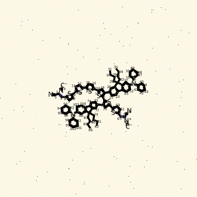 [C-]#[N+]/C(C#N)=C\c1ccc(-c2ccc(-c3ccc(-c4cc(-c5ccc6c(c5)C(CCCC)(CCCC)c5cc(N(c7ccccc7)c7ccccc7)ccc5-6)c(-c5sc(-c6ccc(/C=C(\C#N)[N+]#[C-])s6)cc5-c5ccc6c(c5)C(CCCC)(CCCC)c5cc(N(c7ccccc7)c7ccccc7)ccc5-6)s4)s3)s2)s1